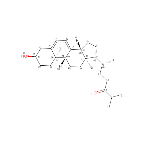 CC(C)C(=O)CC[C@@H](C)[C@H]1CC[C@H]2C3=CC=C4C[C@H](O)CC[C@]4(C)[C@H]3CC[C@]12C